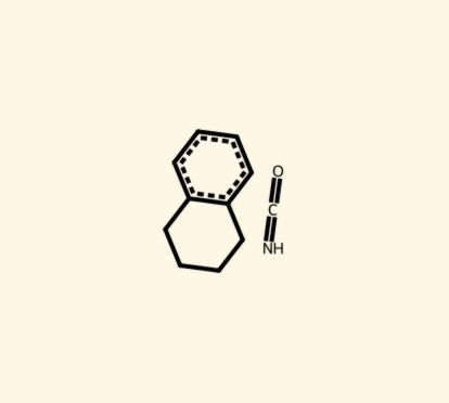 N=C=O.c1ccc2c(c1)CCCC2